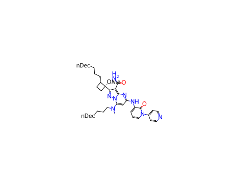 CCCCCCCCCCCCC[C@@H]1CC[C@]1(OC)c1nn2c(N(C)CCCCCCCCCCCCC)cc(Nc3cccn(-c4ccncc4)c3=O)nc2c1C(N)=O